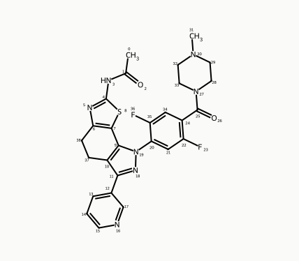 CC(=O)Nc1nc2c(s1)-c1c(c(-c3cccnc3)nn1-c1cc(F)c(C(=O)N3CCN(C)CC3)cc1F)CC2